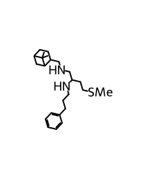 CSCCC(CNCC1CCC2CC1C2(C)C)NCCCc1ccccc1